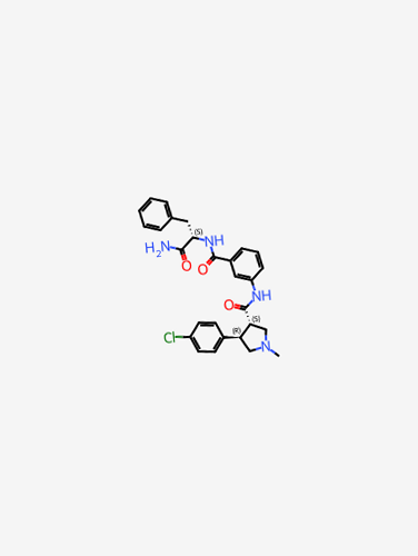 CN1C[C@@H](C(=O)Nc2cccc(C(=O)N[C@@H](Cc3ccccc3)C(N)=O)c2)[C@H](c2ccc(Cl)cc2)C1